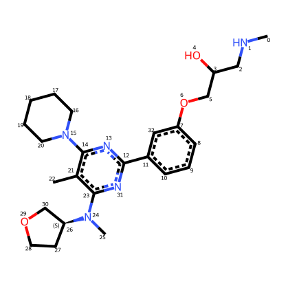 CNCC(O)COc1cccc(-c2nc(N3CCCCC3)c(C)c(N(C)[C@H]3CCOC3)n2)c1